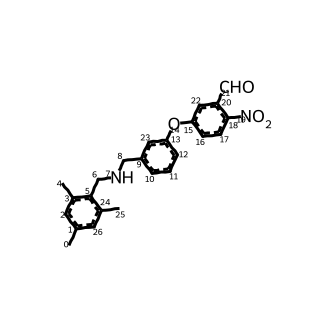 Cc1cc(C)c(CNCc2cccc(Oc3ccc([N+](=O)[O-])c(C=O)c3)c2)c(C)c1